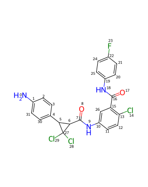 Nc1ccc(C2C(C(=O)Nc3ccc(Cl)c(C(=O)Nc4ccc(F)cc4)c3)C2(Cl)Cl)cc1